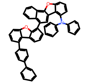 c1ccc(-c2ccc(-c3cccc4oc5c(-c6cc7c(oc8cccc(N(c9ccccc9)c9ccccc9)c87)c7ccccc67)cccc5c34)cc2)cc1